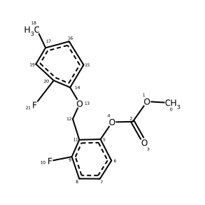 COC(=O)Oc1cccc(F)c1COc1ccc(C)cc1F